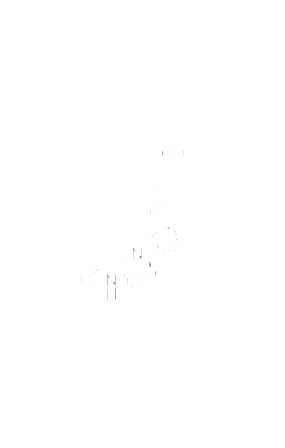 O=C(O)CCCCOc1cccc2c1CN(C1CCC(=O)NC1=O)C2=O